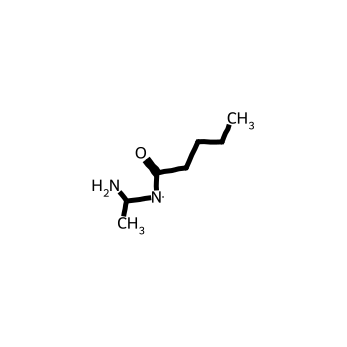 CCCCC(=O)[N]C(C)N